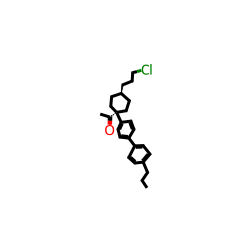 CCCc1ccc(-c2ccc([C@]3(C(C)=O)CC[C@H](CCCCl)CC3)cc2)cc1